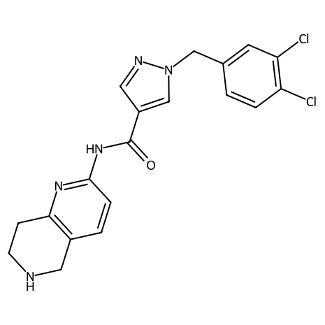 O=C(Nc1ccc2c(n1)CCNC2)c1cnn(Cc2ccc(Cl)c(Cl)c2)c1